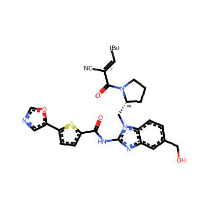 CC(C)(C)/C=C(\C#N)C(=O)N1CCC[C@@H]1Cn1c(NC(=O)c2ccc(-c3cnco3)s2)nc2cc(CO)ccc21